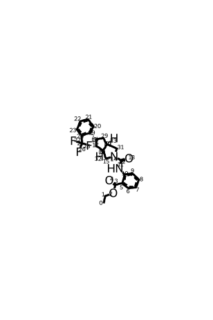 CCOC(=O)c1ccccc1NC(=O)N1C[C@H]2C[C@H](c3ccccc3C(F)(F)F)C[C@H]2C1